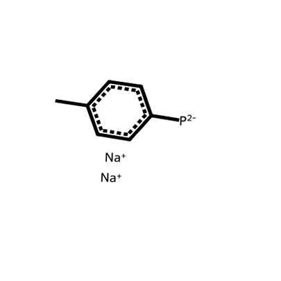 Cc1ccc([P-2])cc1.[Na+].[Na+]